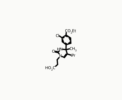 CCOC(=O)c1ccc(C2(C)NC(=O)N(CCC(=O)O)C=C2C(C)C)cc1Cl